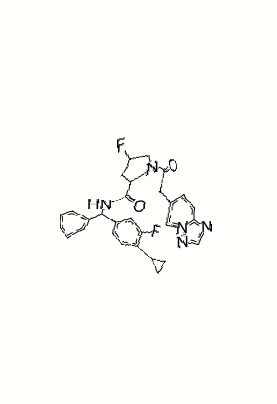 O=C(NC(c1ccccc1)c1ccc(C2CC2)c(F)c1)C1CC(F)CN1C(=O)Cc1ccc2ncnn2c1